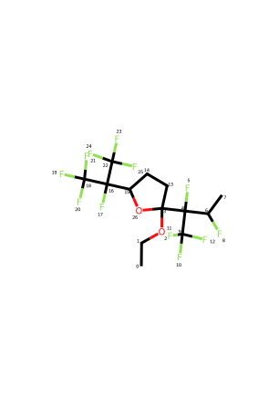 CCOC1(C(F)(C(C)F)C(F)(F)F)CCC(C(F)(C(F)(F)F)C(F)(F)F)O1